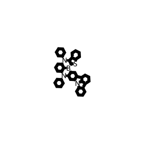 c1ccc(N2c3cc4c(cc3B3c5sc6ccccc6c5N(c5ccccc5)c5cccc2c53)c2cccc3c5ccccc5n4c32)cc1